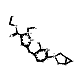 CCOC(=O)c1cc(Cc2ccc(N3CC4CC4C3)nc2C)nn1CC